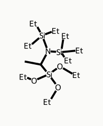 CCO[Si](OCC)(OCC)C(C)N([Si](CC)(CC)CC)[Si](CC)(CC)CC